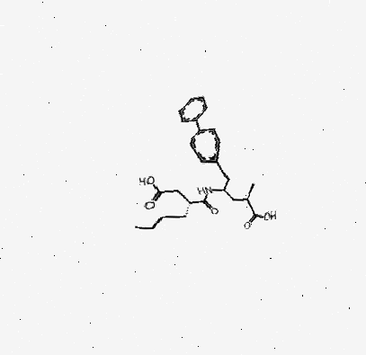 CCCC[C@H](CC(=O)O)C(=O)NC(Cc1ccc(-c2ccccc2)cc1)C[C@@H](C)C(=O)O